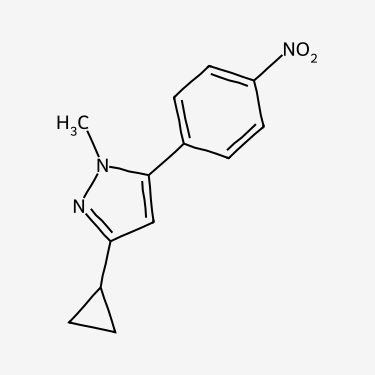 Cn1nc(C2CC2)cc1-c1ccc([N+](=O)[O-])cc1